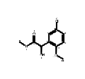 COC(=O)C(O)c1cc(Cl)ccc1OC